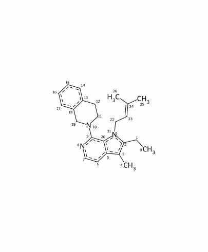 CCc1c(C)c2ccnc(N3CCc4ccccc4C3)c2n1CC=C(C)C